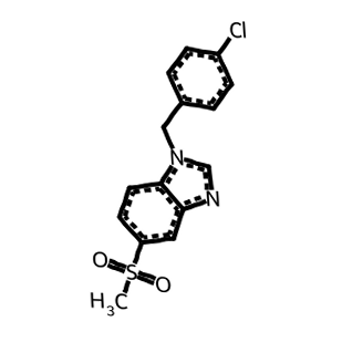 CS(=O)(=O)c1ccc2c(c1)ncn2Cc1ccc(Cl)cc1